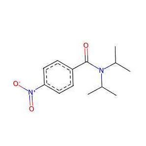 CC(C)N(C(=O)c1ccc([N+](=O)[O-])cc1)C(C)C